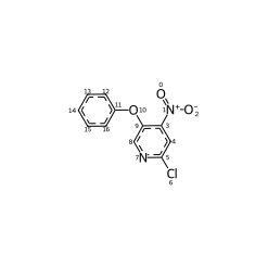 O=[N+]([O-])c1cc(Cl)ncc1Oc1ccccc1